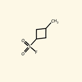 CC1CC(S(=O)(=O)F)C1